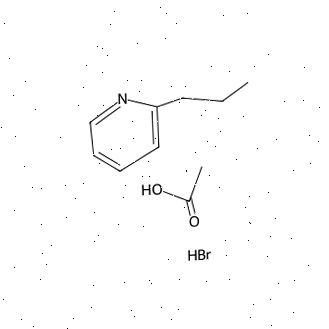 Br.CC(=O)O.CCCc1ccccn1